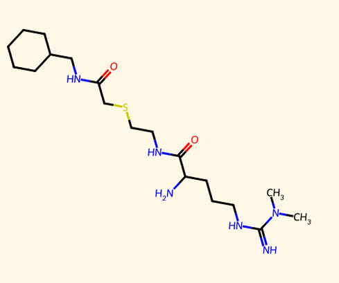 CN(C)C(=N)NCCCC(N)C(=O)NCCSCC(=O)NCC1CCCCC1